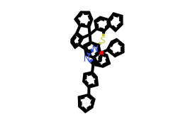 c1ccc(-c2ccc(-c3cc(-c4ccccc4)nc(-c4cccc5c4C4(c6ccccc6-5)c5ccc6ccccc6c5Sc5c4ccc4ccccc54)n3)cc2)cc1